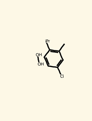 Cc1cc(Cl)ccc1C(C)C.OO